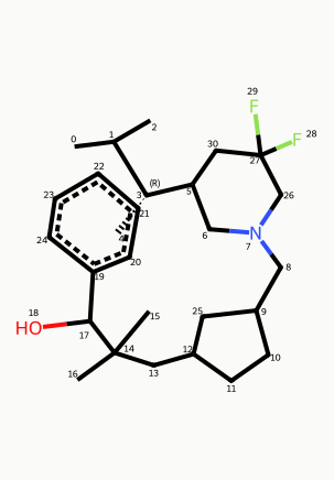 CC(C)[C@@H](C)C1CN(CC2CCC(CC(C)(C)C(O)c3ccccc3)C2)CC(F)(F)C1